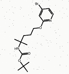 CC(C)(CCCOc1cc(Br)ccn1)NC(=O)OC(C)(C)C